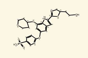 CS(=O)(=O)c1ccc(Oc2cc(OC3CCOCC3)c3[nH]c(C4=NCC(CCO)S4)cc3c2)nc1